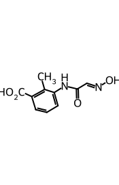 Cc1c(NC(=O)C=NO)cccc1C(=O)O